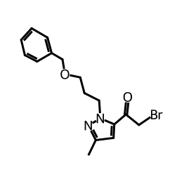 Cc1cc(C(=O)CBr)n(CCCOCc2ccccc2)n1